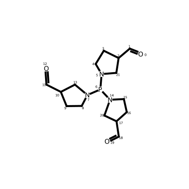 O=CC1CCN(P(N2CCC(C=O)C2)N2CCC(C=O)C2)C1